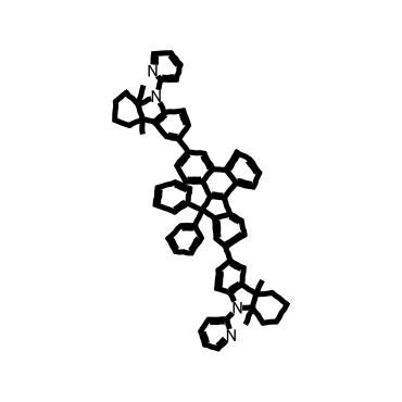 CC12CCCCC1(C)N(c1ccccn1)c1ccc(-c3ccc4c(c3)C(c3ccccc3)(c3ccccc3)c3c-4c4ccccc4c4cc(-c5ccc6c(c5)C5(C)CCCCC5(C)N6c5ccccn5)ccc34)cc12